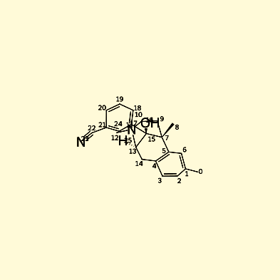 Cc1ccc2c(c1)[C@@]1(C)CCN(C)[C@H](C2)[C@]1(O)c1cccc(C#N)c1